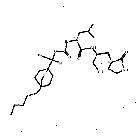 [2H]C([2H])(OC(=O)N[C@@H](CC(C)C)C(=O)N[C@H](CO)C[C@@H]1CCNC1=O)C12CCC(CCCCC)(CC1)CC2